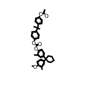 COc1ccc(C2(c3ccc(OC(=O)Oc4ccc(C(C)(C)c5ccc(OC(C)=O)cc5)cc4)c(C)c3)CCCCC2)cc1C